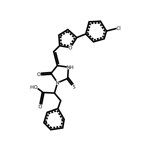 O=C(O)C(Cc1ccccc1)N1C(=O)/C(=C/c2ccc(-c3ccc(Cl)cc3)o2)NC1=S